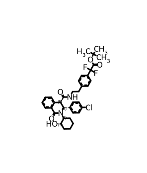 CC(C)(C)OC(=O)C(F)(F)c1ccc(CCNC(=O)[C@@H]2c3ccccc3C(=O)N([C@H]3CCCC[C@@H]3O)[C@H]2c2ccc(Cl)cc2)cc1